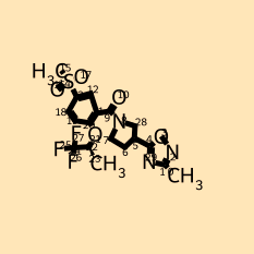 Cc1noc(C2CCN(C(=O)c3cc(S(C)(=O)=O)ccc3O[C@@H](C)C(F)(F)F)C2)n1